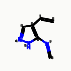 C=Cc1cn[nH]c1N=C